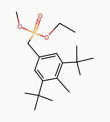 CCOP(=O)(Cc1cc(C(C)(C)C)c(C)c(C(C)(C)C)c1)OC